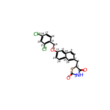 O=C1NC(=O)C(Cc2ccc3cc(OCc4ccc(Cl)cc4Cl)ccc3c2)S1